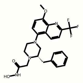 COc1ccc(N2CCN(CC(=O)NO)[C@@H](Cc3ccccc3)C2)c2ccc(C(F)(F)F)nc12